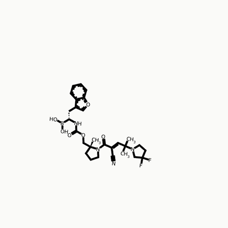 CC(C)(C=C(C#N)C(=O)N1CCC[C@]1(C)COC(=O)N[C@@H](Cc1coc2ccccc12)B(O)O)N1CCC(F)(F)C1